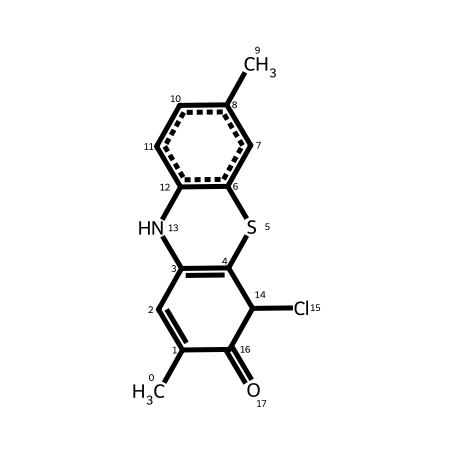 CC1=CC2=C(Sc3cc(C)ccc3N2)C(Cl)C1=O